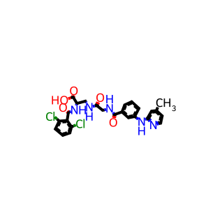 Cc1ccnc(Nc2cccc(C(=O)NCC(=O)NCC(NC(=O)c3c(Cl)cccc3Cl)C(=O)O)c2)c1